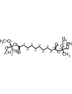 COC(C)(OC)OC(=O)CCCCCCCCC(=O)OC(C)(OC)OC